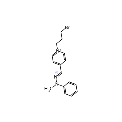 CN(/N=C/c1cc[n+](CCCBr)cc1)c1ccccc1